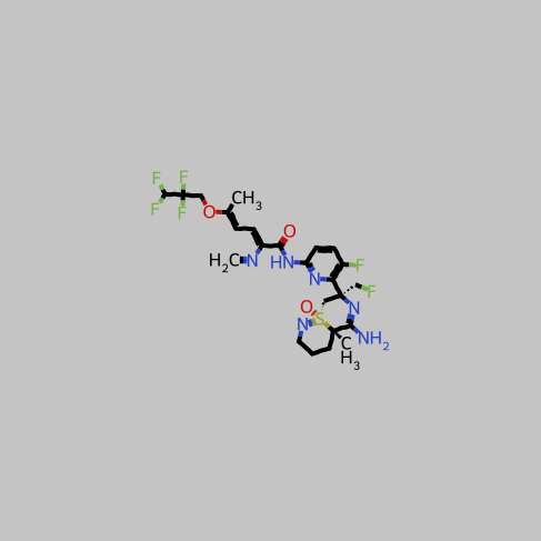 C=N/C(=C\C=C(/C)OCC(F)(F)C(F)F)C(=O)Nc1ccc(F)c([C@]2(CF)C[S@@]3(=O)=NCCC[C@@]3(C)C(N)=N2)n1